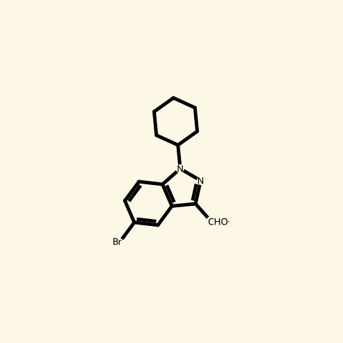 O=[C]c1nn(C2CCCCC2)c2ccc(Br)cc12